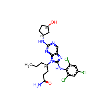 CCC[C@H](CCC(N)=O)n1c(Nc2c(Cl)cc(Cl)cc2Cl)nc2cnc(N[C@@H]3CC[C@@H](O)C3)nc21